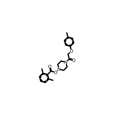 Cc1ccc(OCC(=O)N2CCN(OC(=O)c3c(C)cccc3C)CC2)cc1